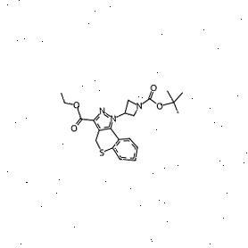 CCOC(=O)c1nn(C2CN(C(=O)OC(C)(C)C)C2)c2c1CSc1ccccc1-2